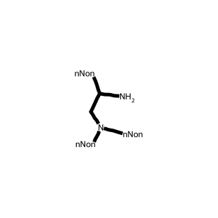 CCCCCCCCCC(N)CN(CCCCCCCCC)CCCCCCCCC